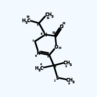 CSC(C)(C)C1=NCN(C(C)C)C(=O)O1